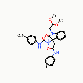 CCOC(CN1C(=O)[C@@](CC(=O)Nc2ccc(C)cc2)(NC(=O)Nc2ccc([N+](=O)[O-])cc2)c2ccccc21)OCC